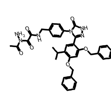 CC(=O)N(N)C(=O)C(=O)NCc1ccc(-n2c(-c3cc(C(C)C)c(OCc4ccccc4)cc3OCc3ccccc3)n[nH]c2=O)cc1